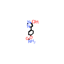 NC(=O)OC1CC=C(c2cc(O)ncn2)CC1